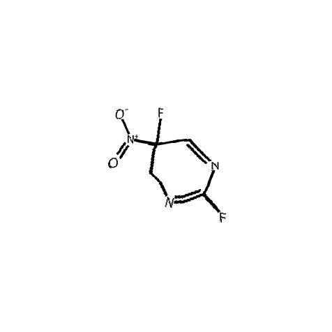 O=[N+]([O-])C1(F)C=NC(F)=NC1